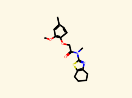 COc1cc(C)ccc1OCC(=O)N(C)c1nc2c(s1)CCCC2